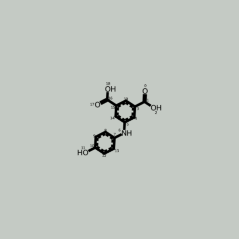 O=C(O)c1cc(Nc2ccc(O)cc2)cc(C(=O)O)c1